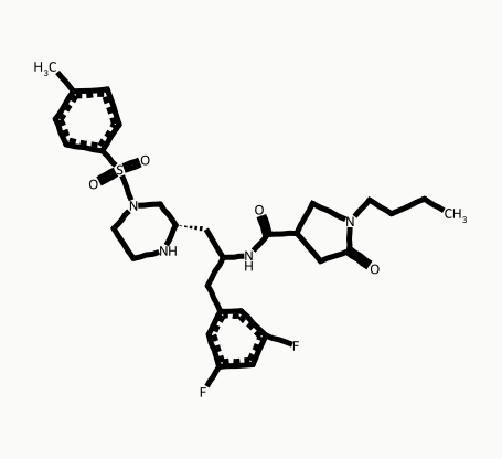 CCCCN1CC(C(=O)NC(Cc2cc(F)cc(F)c2)C[C@H]2CN(S(=O)(=O)c3ccc(C)cc3)CCN2)CC1=O